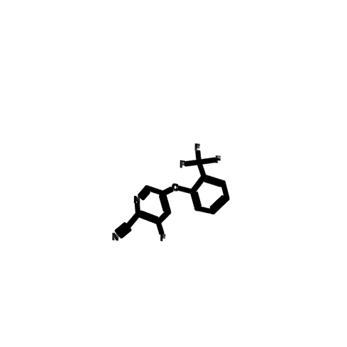 N#Cc1ncc(Oc2ccccc2C(F)(F)F)cc1F